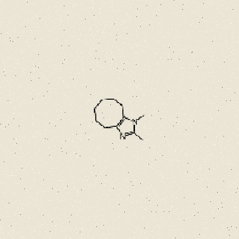 Cc1nc2c(n1C)CCCCCC2